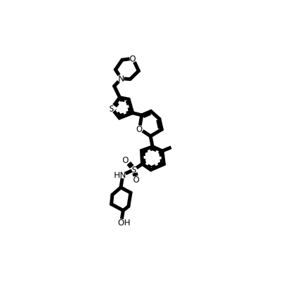 Cc1ccc(S(=O)(=O)NC2CCC(O)CC2)cc1C1C=CC=C(c2csc(CN3CCOCC3)c2)O1